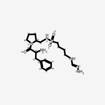 NN=CNCCCCS(=O)(=O)NCC1CCCN1C(=O)C(N)Cc1ccccc1